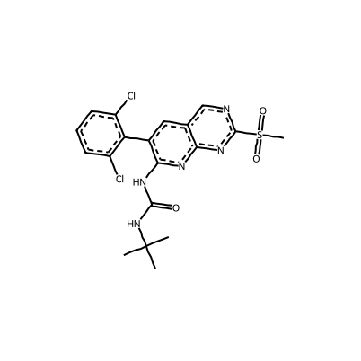 CC(C)(C)NC(=O)Nc1nc2nc(S(C)(=O)=O)ncc2cc1-c1c(Cl)cccc1Cl